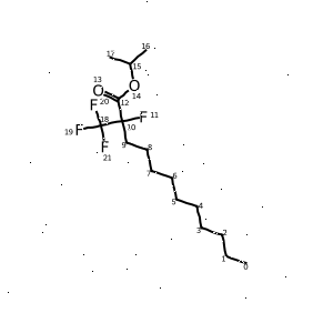 CCCCCCCCCCC(F)(C(=O)OC(C)C)C(F)(F)F